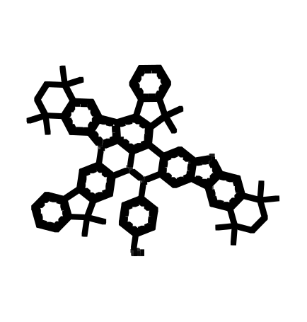 CC(C)(C)c1ccc(N2B3c4cc5c(cc4-n4c6cc7c(cc6c6c8c(c(c3c64)-c3cc4sc6cc9c(cc6c4cc32)C(C)(C)CCC9(C)C)C(C)(C)c2ccccc2-8)C(C)(C)CCC7(C)C)-c2ccccc2C5(C)C)cc1